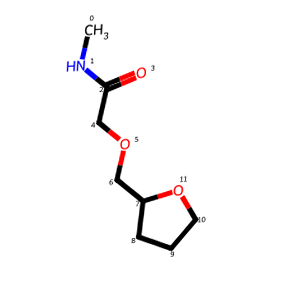 CNC(=O)COCC1CCCO1